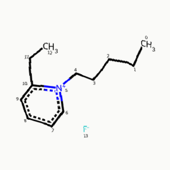 CCCCC[n+]1ccccc1CC.[F-]